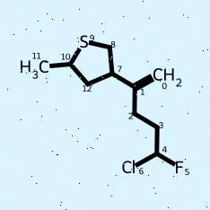 C=C(CCC(F)Cl)C1CSC(C)C1